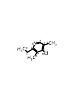 CCc1ncc(C)c(Cl)c1C